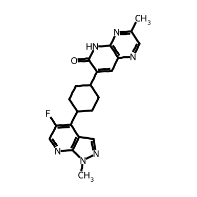 Cc1cnc2cc(C3CCC(c4c(F)cnc5c4cnn5C)CC3)c(=O)[nH]c2n1